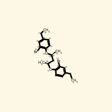 CCc1ccc(O[C@@H](C)C[C@H](C)Oc2ccc(CC)cc2Br)c(Br)c1